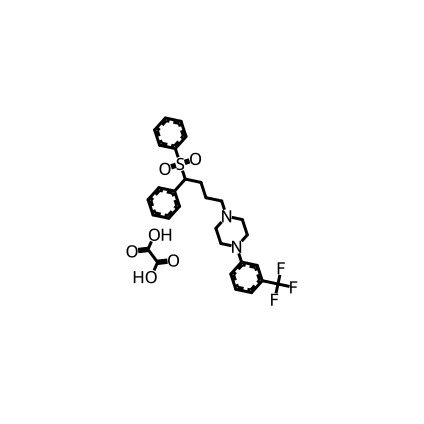 O=C(O)C(=O)O.O=S(=O)(c1ccccc1)C(CCCN1CCN(c2cccc(C(F)(F)F)c2)CC1)c1ccccc1